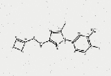 Cc1ccc(-n2nc(OCC3=CCC3)cc2C)cc1Cl